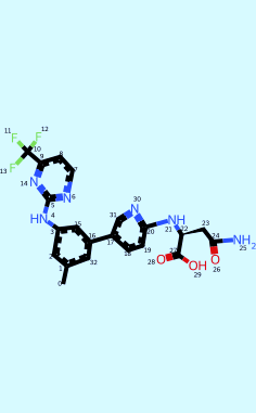 Cc1cc(Nc2nccc(C(F)(F)F)n2)cc(-c2ccc(N[C@@H](CC(N)=O)C(=O)O)nc2)c1